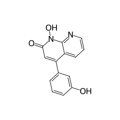 O=c1cc(-c2cccc(O)c2)c2cccnc2n1O